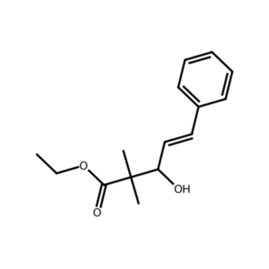 CCOC(=O)C(C)(C)C(O)C=Cc1ccccc1